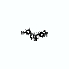 N#Cc1cccc(-c2ccc3nnc(Cc4ccc5ncsc5c4)n3n2)c1